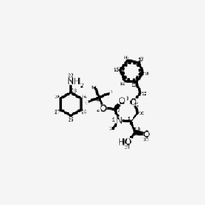 CN(C(=O)OC(C)(C)C)[C@@H](COCc1ccccc1)C(=O)O.NC1CCCCC1